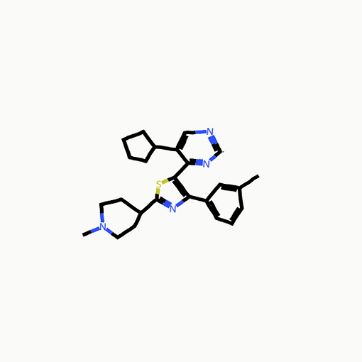 Cc1cccc(-c2nc(C3CCN(C)CC3)sc2-c2n[c]ncc2C2CCCC2)c1